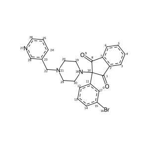 O=C1c2ccccc2C(=O)C1(c1cccc(Br)c1)N1CCN(Cc2cccnc2)CC1